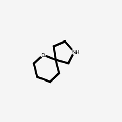 [CH]1CCOC2(C1)CCNC2